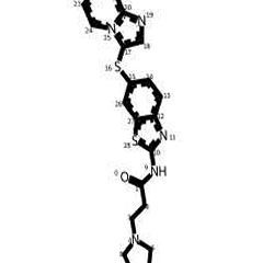 O=C(CCN1CCCC1)Nc1nc2ccc(Sc3cnc4ncccn34)cc2s1